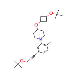 Cc1ccc(C#CCOC(C)(C)C)cc1N1CCC(OC2CC(OC(C)(C)C)C2)CC1